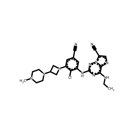 CCNc1nc(Nc2cc(C#N)cc(N3CC(N4CCN(C)CC4)C3)c2Cl)nn2c(C#N)cnc12